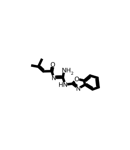 CC(C)=CC(=O)/N=C(\N)Nc1nc2ccccc2o1